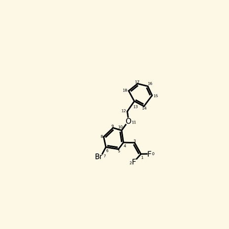 FC(F)=Cc1cc(Br)ccc1OCc1ccccc1